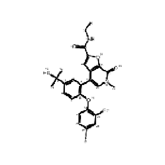 CCNC(=O)c1cc2c(-c3cc(C(C)(C)O)ccc3Oc3ccc(F)cc3F)cn(C)c(=O)c2o1